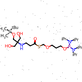 CC(C)N(C(C)C)P(OCCCOCSC(=O)CCNC(CO)(CO)CO[Si](C)(C)C(C)(C)C)N(C(C)C)C(C)C